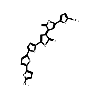 Cc1ccc(-c2ccc(-c3ccc(C4=C/C(=C5/C=C(c6ccc(C)s6)OC5=O)C(=O)O4)s3)o2)o1